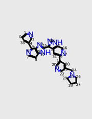 c1cncc(-c2nccc3[nH]c(-c4n[nH]c5cnc(-c6cncc(CN7CCCC7)c6)cc45)nc23)c1